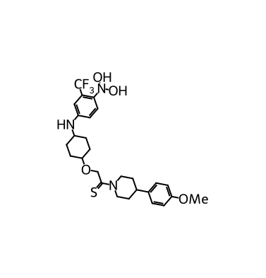 COc1ccc(C2CCN(C(=S)COC3CCC(Nc4ccc(N(O)O)c(C(F)(F)F)c4)CC3)CC2)cc1